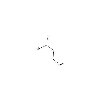 [Li][CH]([Li])CCCCC